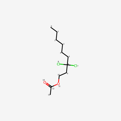 CCCCCCC(Cl)(Cl)CCOC(C)=O